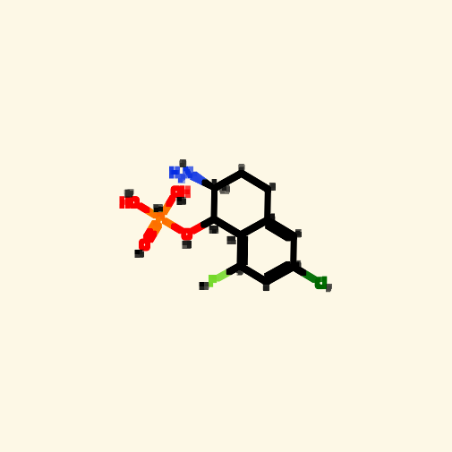 N[C@H]1CCc2cc(Cl)cc(F)c2C1OP(=O)(O)O